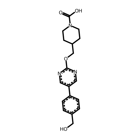 O=C(O)N1CCC(COc2ncc(-c3ccc(CO)cc3)cn2)CC1